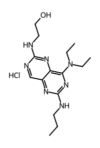 CCCNc1nc(N(CC)CC)c2nc(NCCO)ncc2n1.Cl